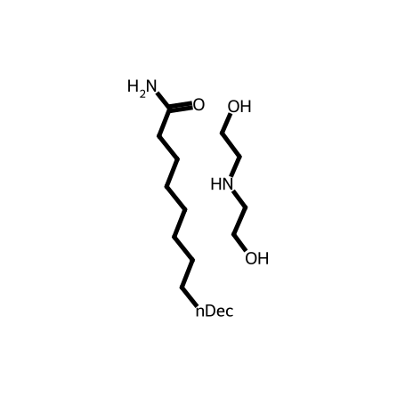 CCCCCCCCCCCCCCCCCC(N)=O.OCCNCCO